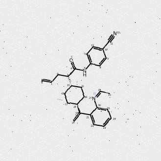 C=CCC(C(=O)Nc1ccc(C#N)cc1)[C@H]1CC[C@H](C(=C)c2ccccc2/N=C\C)CC1